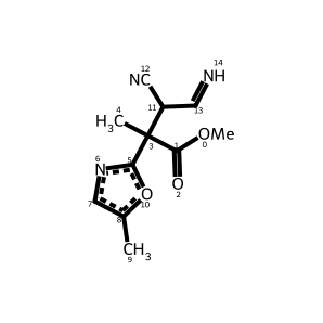 COC(=O)C(C)(c1ncc(C)o1)C(C#N)C=N